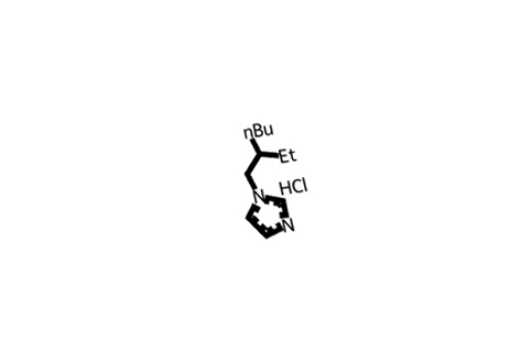 CCCCC(CC)Cn1ccnc1.Cl